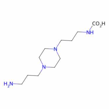 NCCCN1CCN(CCCNC(=O)O)CC1